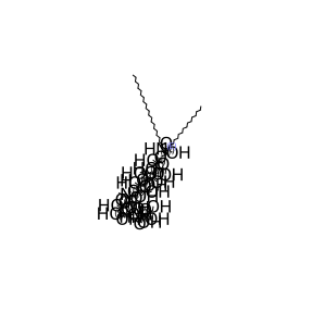 CCCCCCCCCCCCC/C=C/[C@@H](O)[C@H](CO[C@@H]1OC(CO)[C@@H](O[C@@H]2OC(CO)[C@H](O[C@@H]3OC(CO)[C@H](O)[C@H](O[C@@H]4OC(CO[C@@H]5OC(CO)[C@@H](O)[C@H](O)C5NC(C)=O)[C@H](O)[C@H](O[C@@H]5OC(CO)[C@H](O)[C@H](O)C5O)C4NC(C)=O)C3O)[C@H](O)C2O)[C@H](O)C1O)NC(=O)CCCCCCCCCCCCCCCCCCCCC